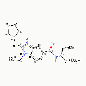 CCC(C)C[C@@H](CC(=O)O)NC(=O)c1ccc2c(c1)nc(CC1CCCC1)n2CC(C)CC